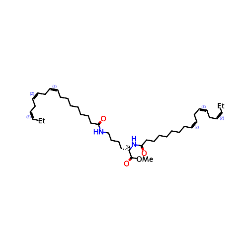 CC/C=C\C/C=C\C/C=C\CCCCCCCC(=O)NCCCC[C@H](NC(=O)CCCCCCC/C=C\C/C=C\C/C=C\CC)C(=O)OC